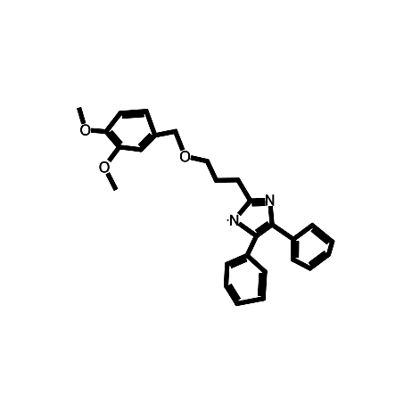 COc1ccc(COCCCC2=NC(c3ccccc3)=C(c3ccccc3)[N]2)cc1OC